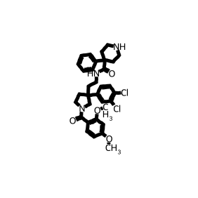 COc1ccc(C(=O)N2CCC(CCNC(=O)C3(c4ccccc4)CCNCC3)(c3ccc(Cl)c(Cl)c3)C2)c(OC)c1